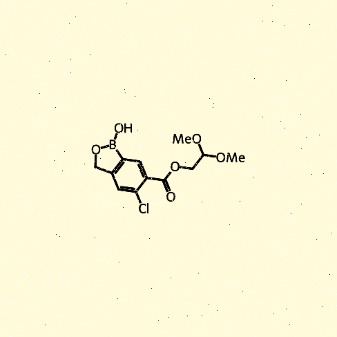 COC(COC(=O)c1cc2c(cc1Cl)COB2O)OC